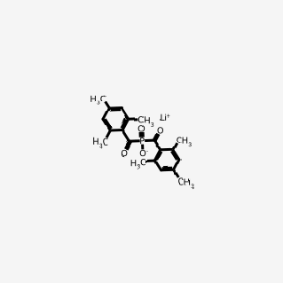 Cc1cc(C)c(C(=O)P(=O)([O-])C(=O)c2c(C)cc(C)cc2C)c(C)c1.[Li+]